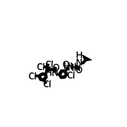 O=C(NCC1CC1)NNC(=O)c1cc(NC(=O)C2C(c3cc(Cl)cc(Cl)c3)C2(Cl)Cl)ccc1Cl